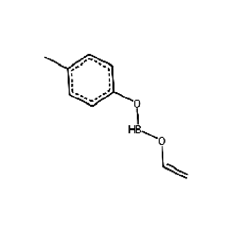 C=COBOc1ccc(C)cc1